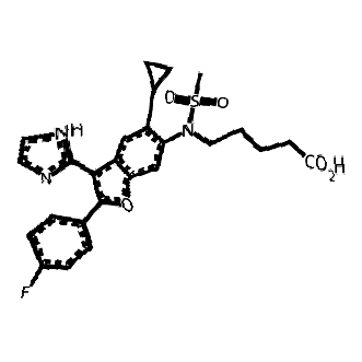 CS(=O)(=O)N(CCCCC(=O)O)c1cc2oc(-c3ccc(F)cc3)c(-c3ncc[nH]3)c2cc1C1CC1